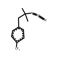 CC(C)(Cc1ccc(C(F)(F)F)cc1)N=[N+]=[N-]